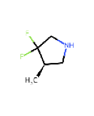 C[C@@H]1CNCC1(F)F